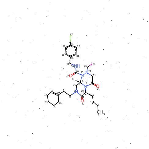 CCCC[C@H]1C(=O)N(CCC2=CCCCC2)C[C@H]2N1C(=O)CN(CI)N2C(=O)NCc1ccc(F)cc1